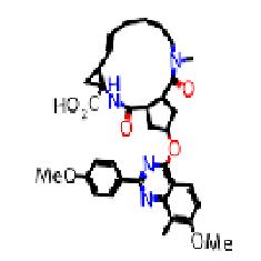 COc1ccc(-c2nc(OC3CC4C(=O)NC5(C(=O)O)CC5/C=C/CCCCN(C)C(=O)C4C3)c3ccc(OC)c(C)c3n2)cc1